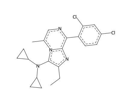 CCc1nc2c(-c3ccc(Cl)cc3Cl)ncc(C)n2c1N(C1CC1)C1CC1